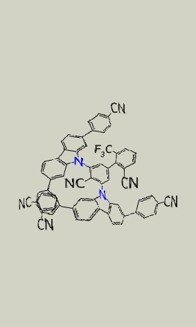 N#Cc1ccc(-c2ccc3c4ccc(-c5ccc(C#N)cc5)cc4n(-c4cc(-c5c(C#N)cccc5C(F)(F)F)cc(-n5c6cc(-c7ccc(C#N)cc7)ccc6c6ccc(-c7ccc(C#N)cc7)cc65)c4C#N)c3c2)cc1